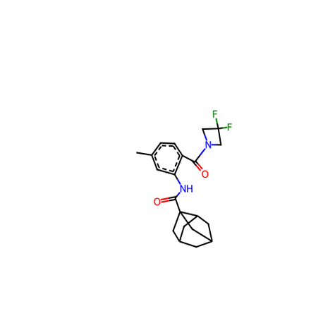 Cc1ccc(C(=O)N2CC(F)(F)C2)c(NC(=O)C23CC4CC(CC2C4)C3)c1